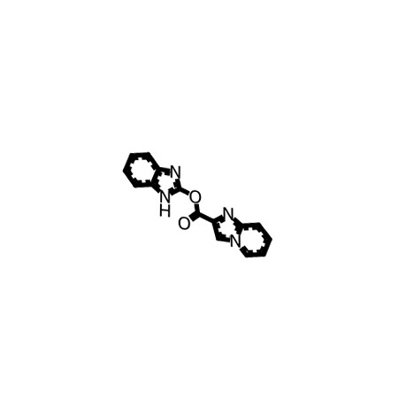 O=C(Oc1nc2ccccc2[nH]1)c1cn2ccccc2n1